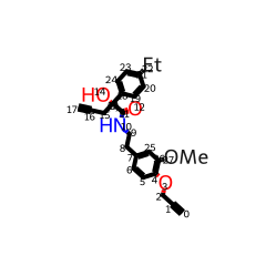 C#CCOc1ccc(CCNC(=O)[C@](O)(CC#C)c2ccc(CC)cc2)cc1OC